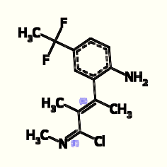 C/N=C(Cl)\C(C)=C(/C)c1cc(C(C)(F)F)ccc1N